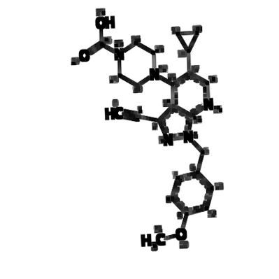 C#Cc1nn(Cc2ccc(OC)cc2)c2ncc(C3CC3)c(N3CCN(C(=O)O)CC3)c12